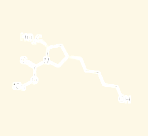 CC(C)(C)OC(=O)N1C[C@@H](CCCCCO)C[C@H]1C(=O)O